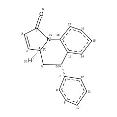 O=C1C=C[C@@H]2C[C@@H](c3ccccc3)c3ccccc3N12